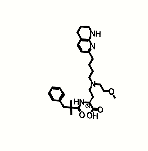 COCCN(CCCCc1ccc2c(n1)NCCC2)CC[C@H](NC(=O)C(C)(C)Cc1ccccc1)C(=O)O